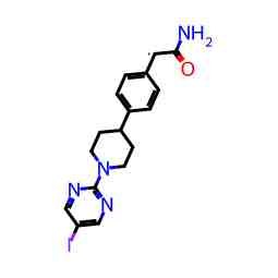 NC(=O)[CH]c1ccc(C2CCN(c3ncc(I)cn3)CC2)cc1